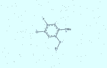 CCOc1cc(Cl)c(F)cc1OC